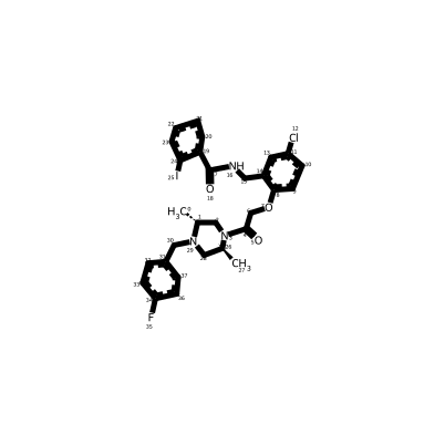 C[C@@H]1CN(C(=O)COc2ccc(Cl)cc2CNC(=O)c2ccccc2I)[C@@H](C)CN1Cc1ccc(F)cc1